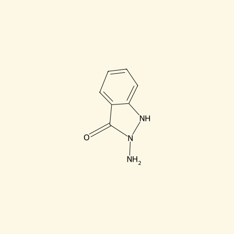 Nn1[nH]c2ccccc2c1=O